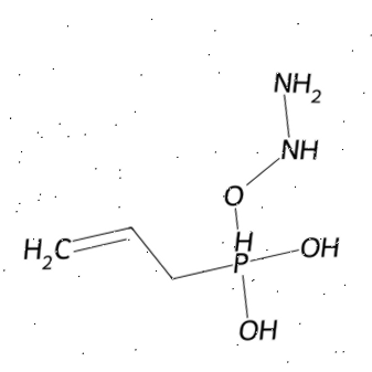 C=CC[PH](O)(O)ONN